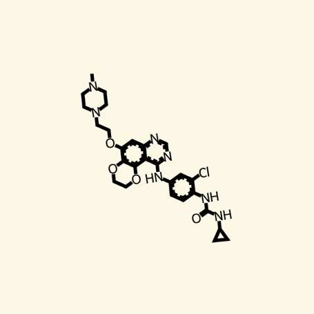 CN1CCN(CCOc2cc3ncnc(Nc4ccc(NC(=O)NC5CC5)c(Cl)c4)c3c3c2OCCO3)CC1